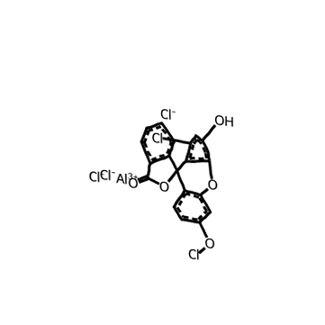 O=C1OC2(c3ccc(OCl)cc3Oc3cc(O)cc(Cl)c32)c2ccccc21.[Al+3].[Cl-].[Cl-].[Cl-]